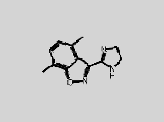 Cc1ccc(C)c2c(C3=NCCN3)noc12